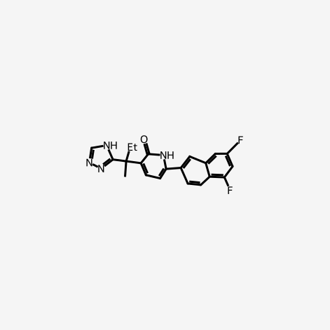 CCC(C)(c1nnc[nH]1)c1ccc(-c2ccc3c(F)cc(F)cc3c2)[nH]c1=O